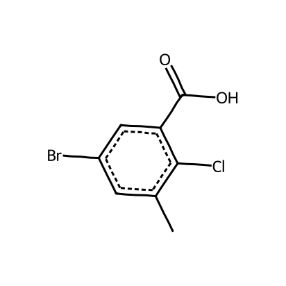 Cc1cc(Br)cc(C(=O)O)c1Cl